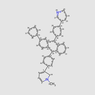 CN1C=CC=C(c2ccc(-c3c4ccccc4c(-c4ccc(-c5cccnc5)cc4)c4cc(-c5ccccc5)ccc34)cc2)C1